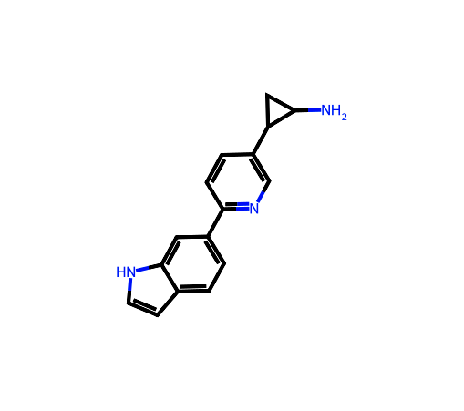 NC1CC1c1ccc(-c2ccc3cc[nH]c3c2)nc1